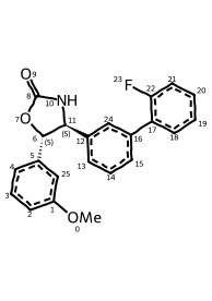 COc1cccc([C@@H]2OC(=O)N[C@H]2c2cccc(-c3ccccc3F)c2)c1